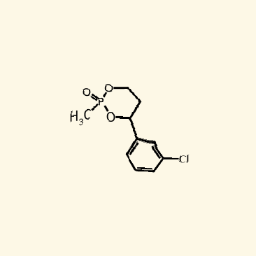 CP1(=O)OCCC(c2cccc(Cl)c2)O1